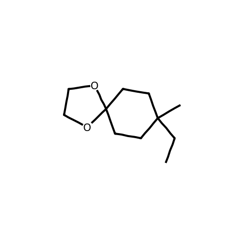 CCC1(C)CCC2(CC1)OCCO2